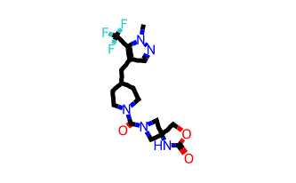 Cn1ncc(CC2CCN(C(=O)N3CC4(COC(=O)N4)C3)CC2)c1C(F)(F)F